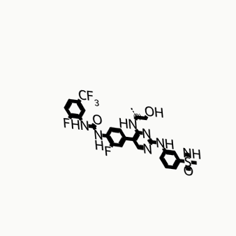 C[C@H](CO)Nc1nc(Nc2cccc(S(C)(=N)=O)c2)ncc1-c1ccc(NC(=O)Nc2cc(C(F)(F)F)ccc2F)c(F)c1